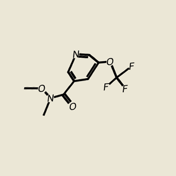 CON(C)C(=O)c1cncc(OC(F)(F)F)c1